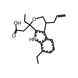 C=CCC1COC(CC)(CC(=O)O)c2[nH]c3c(CC)cccc3c21